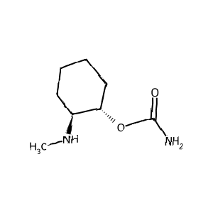 CN[C@H]1CCCC[C@@H]1OC(N)=O